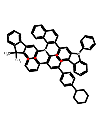 CC1(C)c2ccccc2-c2cc(N(c3ccc(-c4ccc(C5CCCCC5)cc4)cc3-c3ccccc3)c3c(-c4ccc5c6ccccc6n(-c6ccccc6)c5c4)ccc4ccccc34)ccc21